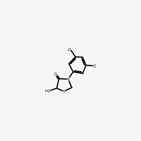 O=C1C(O)SCN1c1cc(Cl)cc(Cl)c1